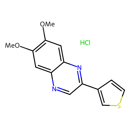 COc1cc2ncc(-c3ccsc3)nc2cc1OC.Cl